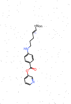 CCCCCCCCC/C=C/CCCNc1ccc(C(=O)Oc2cccnc2)cc1